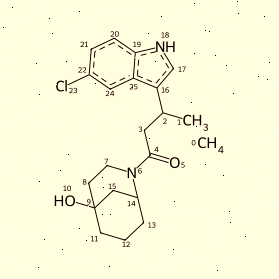 C.CC(CC(=O)N1CCC2(O)CCCC1C2)c1c[nH]c2ccc(Cl)cc12